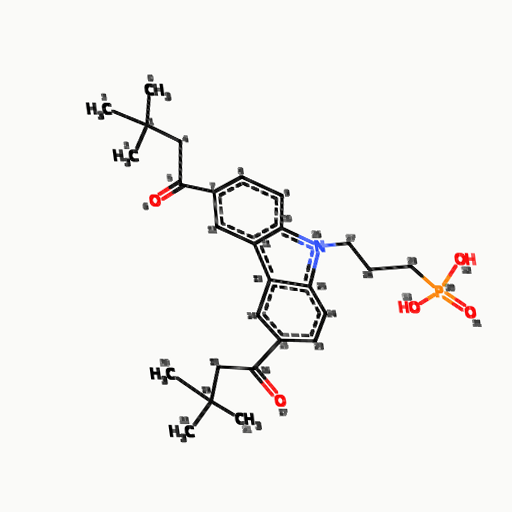 CC(C)(C)CC(=O)c1ccc2c(c1)c1cc(C(=O)CC(C)(C)C)ccc1n2CCCP(=O)(O)O